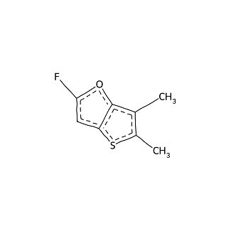 Cc1sc2cc(F)oc2c1C